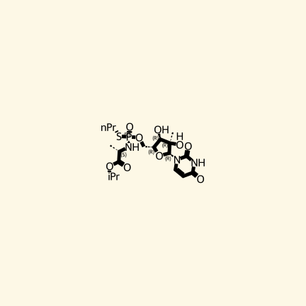 CCCS[P@@](=O)(N[C@@H](C)C(=O)OC(C)C)OC[C@H]1O[C@@H](n2ccc(=O)[nH]c2=O)[C@](C)(O)[C@@H]1O